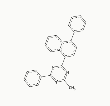 Cc1nc(-c2ccccc2)nc(-c2ccc(-c3ccccc3)c3ccccc23)n1